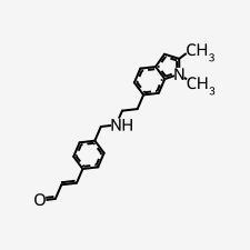 Cc1cc2ccc(CCNCc3ccc(/C=C/C=O)cc3)cc2n1C